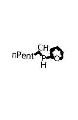 CCCCCC(C)Pc1ccccc1